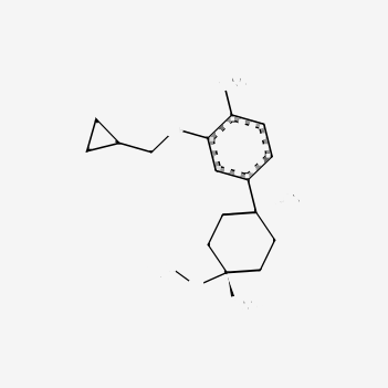 COc1ccc([C@]2(C#N)CC[C@@](OC)(OC(=O)O)CC2)cc1OCC1CC1